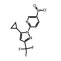 O=[N+]([O-])c1ccc(-n2nc(C(F)(F)F)cc2C2CC2)nc1